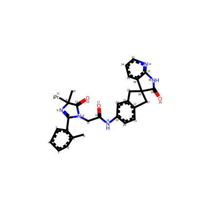 Cc1ccccc1C1=NC(C)(C(C)C)C(=O)N1CC(=O)Nc1ccc2c(c1)CC1(C2)C(=O)Nc2ncccc21